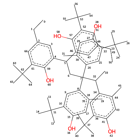 CCc1cc(C(CC(c2cc(C(C)(C)C)c(O)cc2C)(c2cc(C(C)(C)C)c(O)cc2C)C(C)c2cc(C(C)(C)C)c(O)cc2C)c2cc(CC)cc(C(C)(C)C)c2O)c(O)c(C(C)(C)C)c1